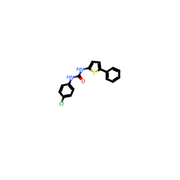 O=C(Nc1ccc(Cl)cc1)Nc1ccc(-c2ccccc2)s1